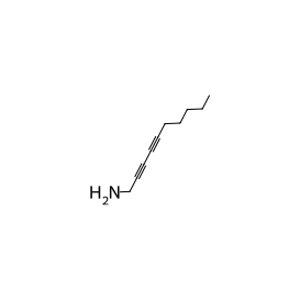 CCCCCC#CC#CCN